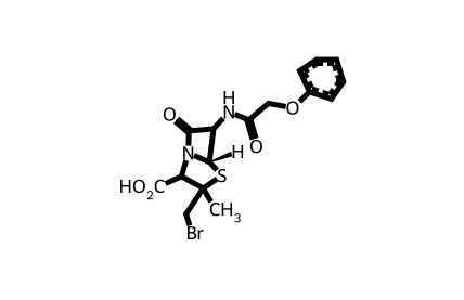 CC1(CBr)S[C@H]2C(NC(=O)COc3ccccc3)C(=O)N2C1C(=O)O